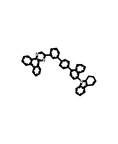 C1=Cc2c(n(-c3ccc(-c4ccc(-c5cccc(-c6cnc7c8ccccc8c8ccccc8c7n6)c5)cc4)c4ccccc34)c3ccccc23)CC1